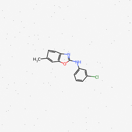 Cc1ccc2nc(Nc3cccc(Cl)c3)oc2c1